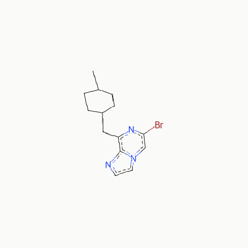 CC1CCC(Cc2nc(Br)cn3ccnc23)CC1